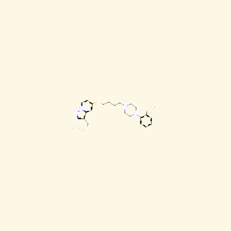 COc1ccccc1N1CCN(CCCCOc2ccn3ncc(CNC(C)=O)c3c2)CC1